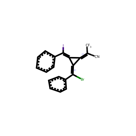 N#C/C(=C1/C(=C(I)c2ccccc2)/C1=C(/Br)c1ccccc1)C(F)(F)F